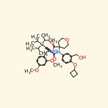 COc1ccc(CNC(=O)C2(N(C(=O)C#C[Si](C(C)C)(C(C)C)C(C)C)c3ccc(OC4CCC4)c(CO)c3)CCOCC2)c(OC)c1